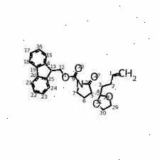 C=CCCC1([C@@H]2CCN(C(=O)OCC3c4ccccc4-c4ccccc43)C2=O)OCCO1